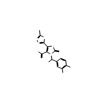 CCC(c1ccc(F)c(F)c1)n1c(C(N)=O)c(-c2nnc(C)o2)[nH]c1=S